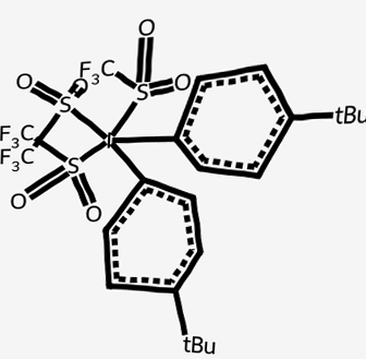 CC(C)(C)c1ccc(I(c2ccc(C(C)(C)C)cc2)(S(=O)(=O)C(F)(F)F)(S(=O)(=O)C(F)(F)F)S(=O)(=O)C(F)(F)F)cc1